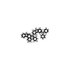 c1ccc(N(c2ccccc2)c2ccc3sc4ccc(N(c5ccccc5)c5cc6sc7ccccc7c6c6ccccc56)cc4c3c2)cc1